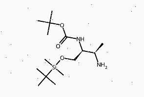 C[C@@H](N)[C@@H](CO[Si](C)(C)C(C)(C)C)NC(=O)OC(C)(C)C